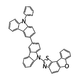 c1ccc(-n2c3ccccc3c3cc(-c4ccc5c(c4)c4ccccc4n5-c4nc5ccc6oc7ccccc7c6c5s4)ccc32)cc1